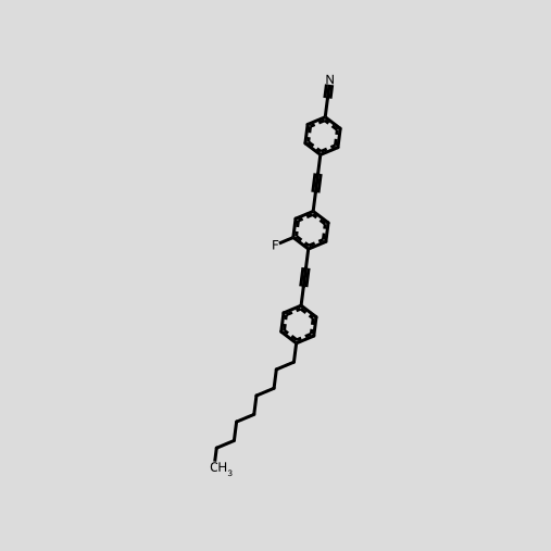 CCCCCCCCCc1ccc(C#Cc2ccc(C#Cc3ccc(C#N)cc3)cc2F)cc1